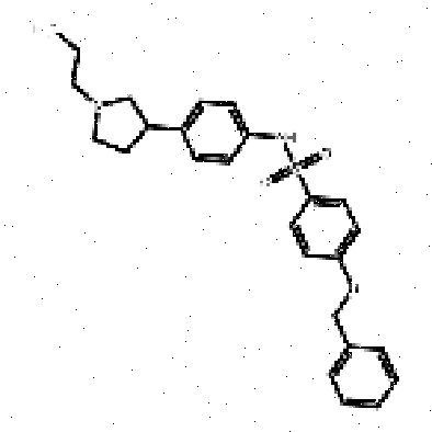 CCCN1CCC(c2ccc(NS(=O)(=O)c3ccc(OCc4ccccc4)cc3)cc2)C1